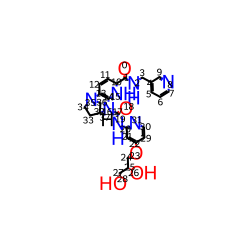 O=C(NCc1cccnc1)C1C=CC2=C(N1)N(C(=O)Nc1cc(OC[C@H](O)CO)ccn1)[C@H]1CCN2C1